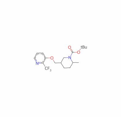 CC1CCC(COc2cccnc2C(F)(F)F)CN1C(=O)OC(C)(C)C